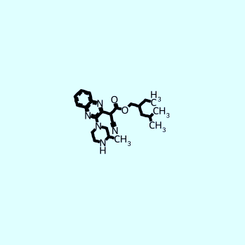 CCC(COC(=O)C(C#N)c1nc2ccccc2nc1N1CCNC(C)C1)CC(C)C